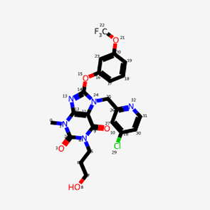 Cn1c(=O)n(CCCO)c(=O)c2c1nc(Oc1cccc(OC(F)(F)F)c1)n2Cc1cc(Cl)ccn1